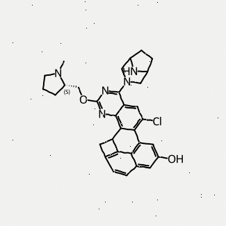 CN1CCC[C@H]1COc1nc(N2CC3CCC(C2)N3)c2cc(Cl)c3c(c2n1)C1Cc2ccc4cc(O)cc-3c4c21